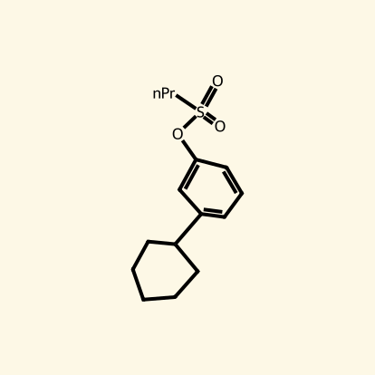 CCCS(=O)(=O)Oc1cccc(C2CCCCC2)c1